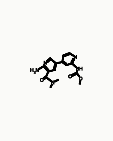 COC(=O)Nc1cc(-c2cnc(N)c(C(=O)N(C)C)c2)ccn1